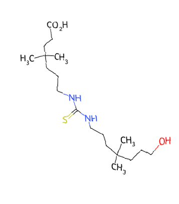 CC(C)(CCCO)CCCNC(=S)NCCCC(C)(C)CCC(=O)O